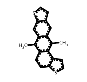 Cc1c2cc3sccc3cc2c(C)c2c1ccc1sccc12